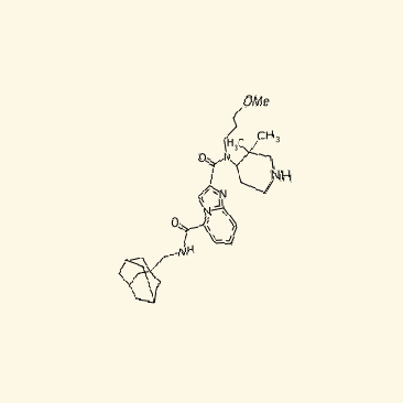 COCCCN(C(=O)c1cn2c(C(=O)NCC34CC5CC(CC(C5)C3)C4)cccc2n1)C1CCNCC1(C)C